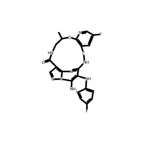 CC1CNC(=O)c2cnn3c(N)c(Nc4ccc(F)cc4)c(nc23)NCc2cc(F)cnc2O1